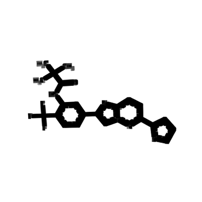 CC(C)(C)C(=O)Nc1cc(-c2cn3nc(-c4cccs4)ccc3n2)ccc1C(F)(F)F